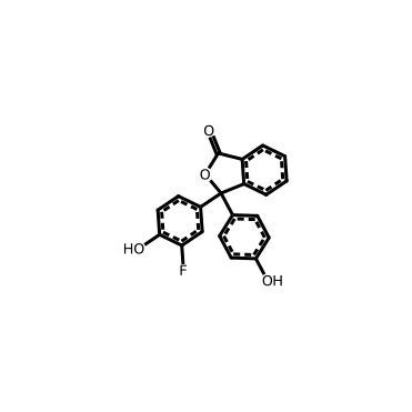 O=C1OC(c2ccc(O)cc2)(c2ccc(O)c(F)c2)c2ccccc21